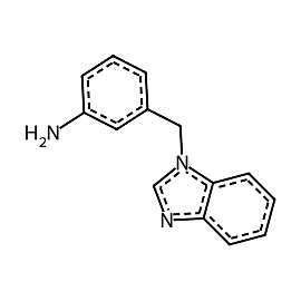 Nc1cccc(Cn2cnc3ccccc32)c1